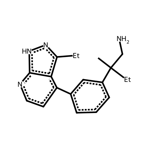 CCc1n[nH]c2nccc(-c3cccc(C(C)(CC)CN)c3)c12